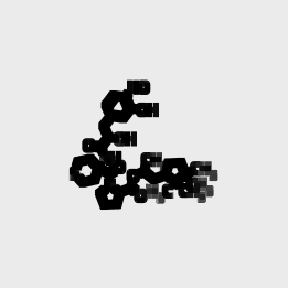 CC(CC1CCC(C)(C)C1(C)C)OC(=O)C1CCCN1C(=O)C1(NC(=O)C(O)Cc2ccc(N=O)c(O)c2)CCSCC1